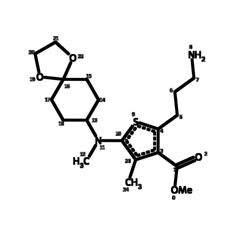 COC(=O)c1c(CCCN)sc(N(C)C2CCC3(CC2)OCCO3)c1C